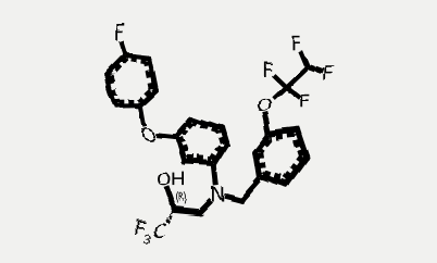 O[C@H](CN(Cc1cccc(OC(F)(F)C(F)F)c1)c1cccc(Oc2ccc(F)cc2)c1)C(F)(F)F